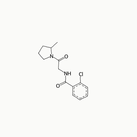 CC1CCCN1C(=O)CNC(=O)c1ccccc1Cl